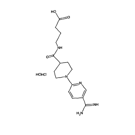 Cl.Cl.N=C(N)c1ccc(N2CCC(C(=O)NCCCC(=O)O)CC2)nc1